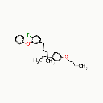 C=CC(C)(CCCc1ccc(F)c(Oc2ccccc2)c1)c1ccc(OCCCC)cc1